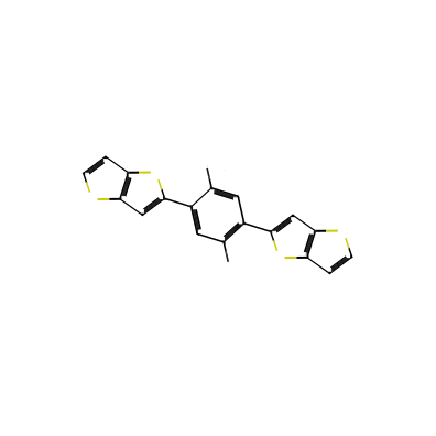 O=C(O)c1cc(-c2cc3sccc3s2)c(C(=O)O)cc1-c1cc2sccc2s1